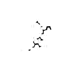 CC(=O)OCC1=C(C(=O)O)N2C(=O)[C@@H](NC(=O)C(=NOC(C)(C)C(=O)O)c3ccco3)[C@H]2[S@+]([O-])C1